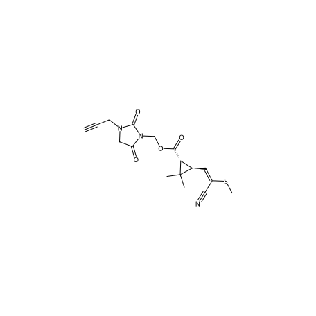 C#CCN1CC(=O)N(COC(=O)[C@@H]2[C@@H](/C=C(\C#N)SC)C2(C)C)C1=O